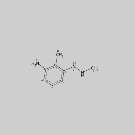 CNNc1cccc(N)c1C